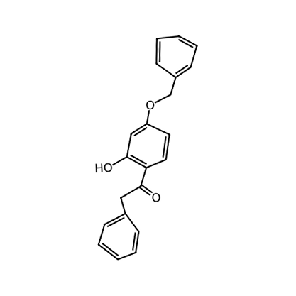 O=C(Cc1ccccc1)c1ccc(OCc2ccccc2)cc1O